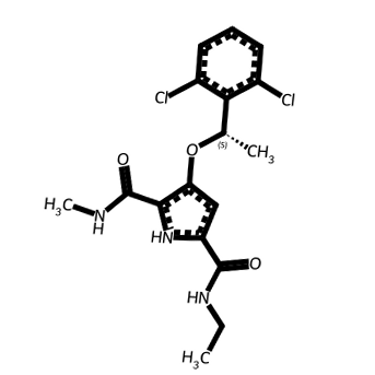 CCNC(=O)c1cc(O[C@@H](C)c2c(Cl)cccc2Cl)c(C(=O)NC)[nH]1